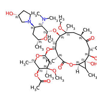 CO[C@]1(C)C[C@H](O[C@H]2[C@H](C)[C@@H](O[C@@H]3O[C@H](C)C[C@@H](N4CC[C@@H](O)C4)[C@@H]3N(C)C)[C@@](C)(OC)C[C@@H](C)C(=O)[C@H](C)[C@@H](O)[C@@]3(O)C(C)[C@H]3OC(=O)[C@@H]2C)O[C@@H](C)[C@@H]1OC(C)=O